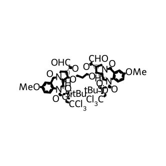 COc1ccc2c(c1)C(=O)N1C[C@H](C(=O)C=O)C(OCCCOC3[C@@H](C(=O)C=O)CN4C(=O)c5cc(OC)ccc5N(C(=O)OCC(Cl)(Cl)Cl)[C@@H](O[Si](C)(C)C(C)(C)C)[C@H]34)[C@H]1[C@H](O[Si](C)(C)C(C)(C)C)N2C(=O)OCC(Cl)(Cl)Cl